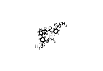 COC(=O)c1cccc(NC(=O)c2cc3nccc(-c4ccc(OC)c(OC)c4)n3n2)c1